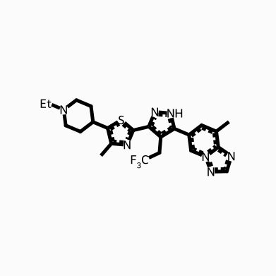 CCN1CCC(c2sc(-c3n[nH]c(-c4cc(C)c5ncnn5c4)c3CC(F)(F)F)nc2C)CC1